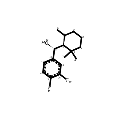 CC1CCCC(C)(C)[C@H]1[C@@H](O)c1ccc(F)c(F)c1